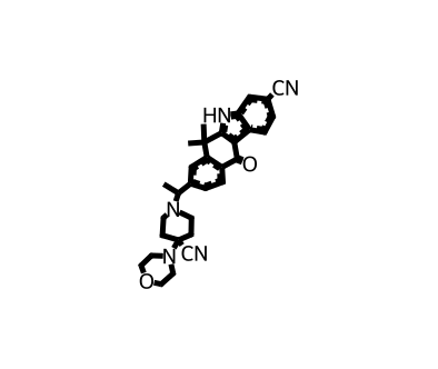 CC(c1ccc2c(c1)C(C)(C)c1[nH]c3cc(C#N)ccc3c1C2=O)N1CCC(C#N)(N2CCOCC2)CC1